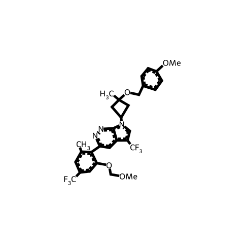 COCOc1cc(C(F)(F)F)cc(C)c1-c1cc2c(C(F)(F)F)cn(C3CC(C)(OCc4ccc(OC)cc4)C3)c2nn1